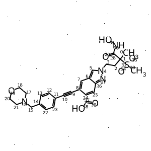 CC(CCn1cc2cc(C#Cc3ccc(CN4CCOCC4)cc3)ccc2n1)(C(=O)NO)S(C)(=O)=O.O=CO